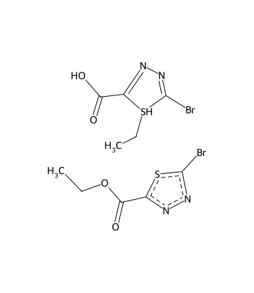 CCOC(=O)c1nnc(Br)s1.CC[SH]1C(Br)=NN=C1C(=O)O